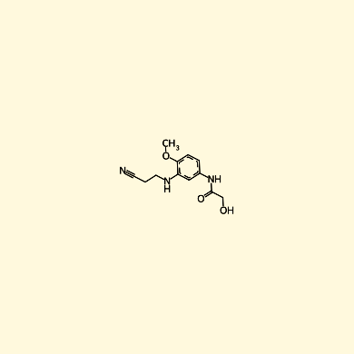 COc1ccc(NC(=O)CO)cc1NCCC#N